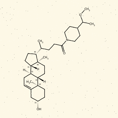 COC(C)C1CCN(C(=O)CCC(C)[C@H]2CC[C@H]3[C@@H]4CC=C5C[C@@H](O)CC[C@]5(C)[C@H]4CC[C@]23C)CC1